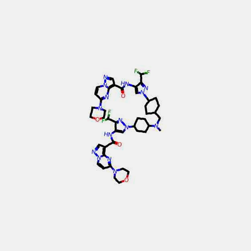 CN(CC1CCC(n2cc(NC(=O)c3cnn4ccc(N5CCOCC5)nc34)c(C(F)F)n2)CC1)C1CCC(n2cc(NC(=O)c3cnn4ccc(N5CCOCC5)nc34)c(C(F)F)n2)CC1